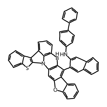 B1c2c(cc3oc4ccccc4c3c2-c2cc3ccccc3cc2Nc2ccc(-c3ccccc3)cc2)-n2c3sc4ccccc4c3c3cccc1c32